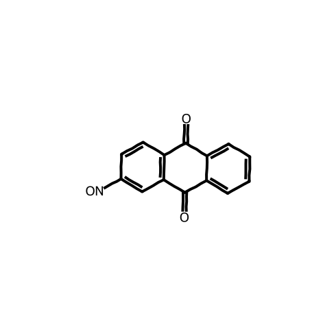 O=Nc1ccc2c(c1)C(=O)c1ccccc1C2=O